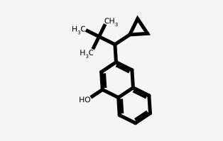 CC(C)(C)[C](c1cc(O)c2ccccc2c1)C1CC1